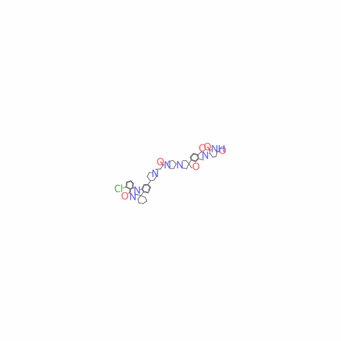 O=C1CC[C@H](N2Cc3c(ccc4c3OCC43CCN(C4CCN(C(=O)CCN5CCC(c6ccc7c(c6)-n6c(nc(=O)c8c(Cl)cccc86)C76CCCCC6)CC5)CC4)CC3)C2=O)C(=O)N1